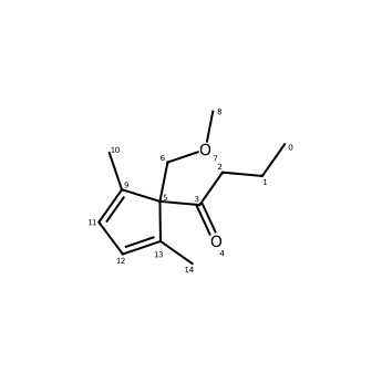 CCCC(=O)C1(COC)C(C)=CC=C1C